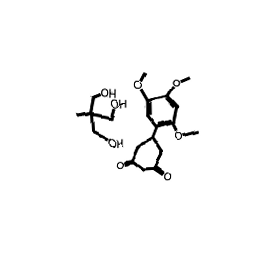 CC(CO)(CO)CO.COc1cc(OC)c(C2CC(=O)CC(=O)C2)cc1OC